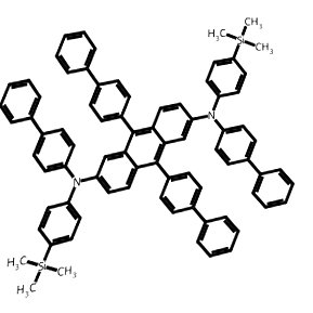 C[Si](C)(C)c1ccc(N(c2ccc(-c3ccccc3)cc2)c2ccc3c(-c4ccc(-c5ccccc5)cc4)c4cc(N(c5ccc(-c6ccccc6)cc5)c5ccc([Si](C)(C)C)cc5)ccc4c(-c4ccc(-c5ccccc5)cc4)c3c2)cc1